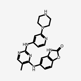 Cc1cnc(Nc2ccnc(N3CCNCC3)c2)nc1Nc1ccc2oc(=O)[nH]c2c1